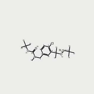 CN(Cc1ccc(Cl)c(C(C)(C)O[SiH2]C(C)(C)C)c1)C(=O)OC(C)(C)C